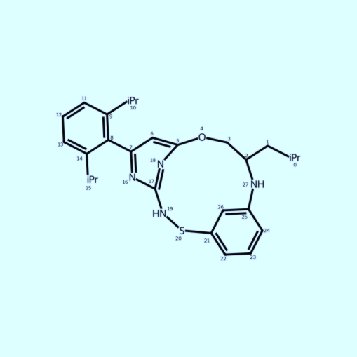 CC(C)CC1COc2cc(-c3c(C(C)C)cccc3C(C)C)nc(n2)NSc2cccc(c2)N1